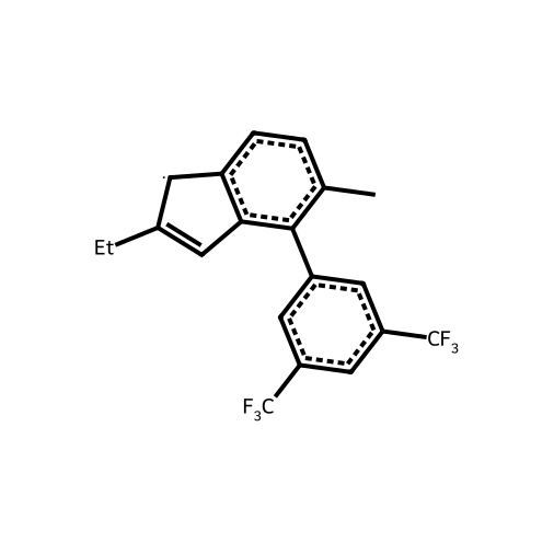 CCC1=Cc2c(ccc(C)c2-c2cc(C(F)(F)F)cc(C(F)(F)F)c2)[CH]1